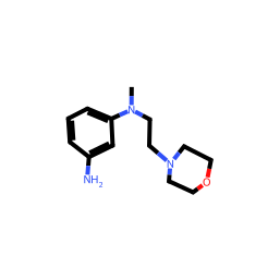 CN(CCN1CCOCC1)c1cccc(N)c1